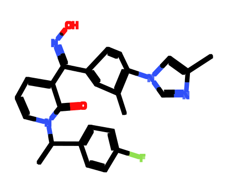 Cc1cn(-c2ccc(/C(=N\O)c3cccn(C(C)c4ccc(F)cc4)c3=O)cc2C)cn1